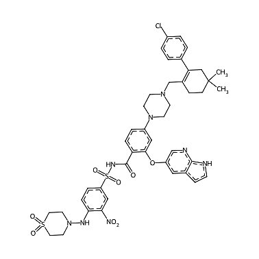 CC1(C)CCC(CN2CCN(c3ccc(C(=O)NS(=O)(=O)c4ccc(NN5CCS(=O)(=O)CC5)c([N+](=O)[O-])c4)c(Oc4cnc5[nH]ccc5c4)c3)CC2)=C(c2ccc(Cl)cc2)C1